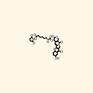 CCc1c2c(nc3ccc(O)cc13)-c1cc3c(c(=O)n1C2)COC(=O)[C@H]3OC(=O)NCCCCCC(=O)ON1C(=O)CCC1=O